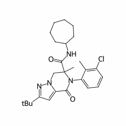 Cc1c(Cl)cccc1N1C(=O)c2cc(C(C)(C)C)nn2CC1(C)C(=O)NC1CCCCCC1